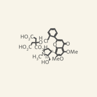 COc1cc(OC)c2c(=O)cc(-c3ccccc3Cl)oc2c1[C@H]1CCN(C)[C@@H]1CO.O=C(O)CC(O)(CC(=O)O)C(=O)O